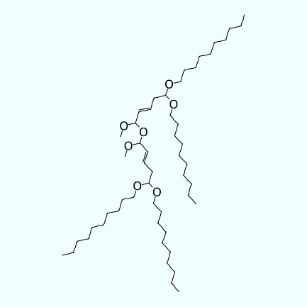 CCCCCCCCCCOC(CC=CC(OC)OC(C=CCC(OCCCCCCCCCC)OCCCCCCCCCC)OC)OCCCCCCCCCC